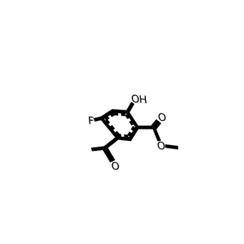 COC(=O)c1cc(C(C)=O)c(F)cc1O